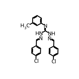 Cc1cccc(N=C(NN=Cc2ccc(Cl)cc2)NN=Cc2ccc(Cl)cc2)c1